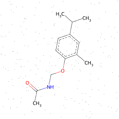 CC(=O)NCOc1ccc(C(C)C)cc1C